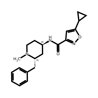 CN1CC[C@@H](NC(=O)c2cc(C3CC3)on2)C[C@@H]1Cc1ccccc1